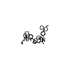 CCOC(=O)c1ccc(N2N=C(C)/C(=C/c3ccc(-c4ccc(Cl)c(C(=O)NCC5CC5)c4)o3)C2=O)cc1